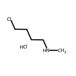 CNCCCCCl.Cl